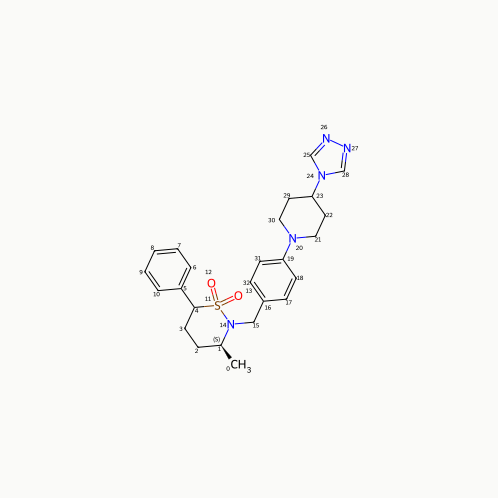 C[C@H]1CCC(c2ccccc2)S(=O)(=O)N1Cc1ccc(N2CCC(n3cnnc3)CC2)cc1